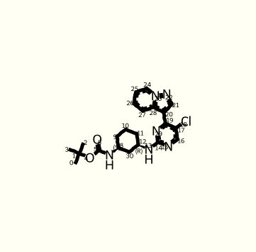 CC(C)(C)OC(=O)N[C@H]1CCC[C@@H](Nc2ncc(Cl)c(-c3cnn4ccccc34)n2)C1